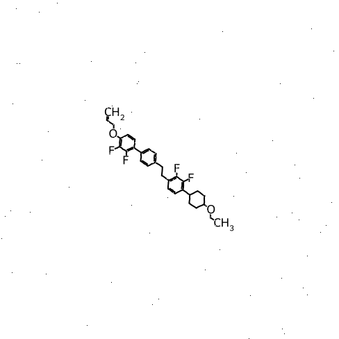 C=CCOc1ccc(-c2ccc(CCc3ccc(C4CCC(OCC)CC4)c(F)c3F)cc2)c(F)c1F